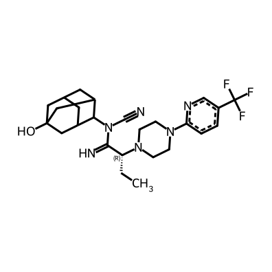 CC[C@H](C(=N)N(C#N)C1C2CC3CC1CC(O)(C3)C2)N1CCN(c2ccc(C(F)(F)F)cn2)CC1